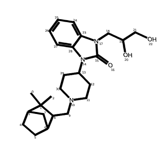 CC1(C)C2CCC(C2)C1CN1CCC(n2c(=O)n(CC(O)CO)c3ccccc32)CC1